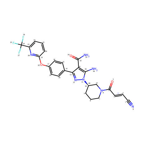 N#C/C=C/C(=O)N1CCC[C@@H](n2nc(-c3ccc(Oc4cccc(C(F)(F)F)n4)cc3)c(C(N)=O)c2N)C1